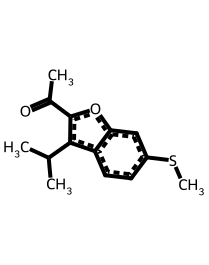 CSc1ccc2c(C(C)C)c(C(C)=O)oc2c1